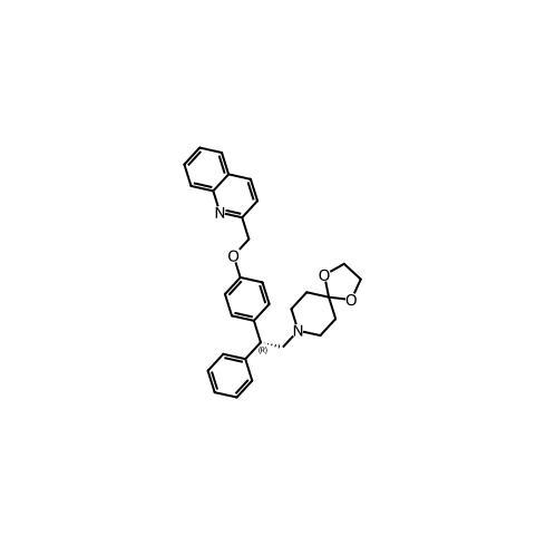 c1ccc([C@@H](CN2CCC3(CC2)OCCO3)c2ccc(OCc3ccc4ccccc4n3)cc2)cc1